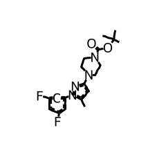 Cc1cc(N2CCN(C(=O)OC(C)(C)C)CC2)nn1-c1cc(F)cc(F)c1